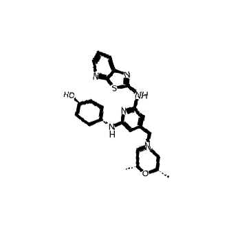 C[C@@H]1CN(Cc2cc(Nc3nc4cccnc4s3)nc(N[C@H]3CC[C@H](O)CC3)c2)C[C@H](C)O1